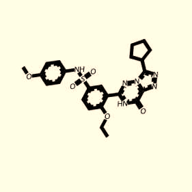 CCOc1ccc(S(=O)(=O)Nc2ccc(OC)cc2)cc1-c1nn2c(C3CCCC3)nnc2c(=O)[nH]1